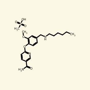 CCCCCCNCc1ccc(Oc2ccc(C(N)=O)cn2)c(OC)c1.CS(=O)(=O)O